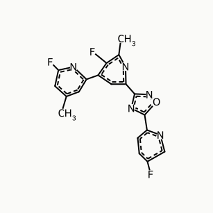 Cc1cc(F)nc(-c2cc(-c3noc(-c4ccc(F)cn4)n3)nc(C)c2F)c1